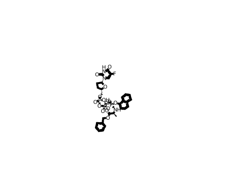 C[C@H](NP(=O)(Oc1cccc2ccccc12)OP(=O)(O)OP(=O)(O)OC[C@@H]1CC[C@H](n2cc(F)c(=O)[nH]c2=O)O1)C(=O)OCc1ccccc1